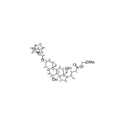 COCOC(=O)CCC(C)C1CCC2C3C(C[C@H](O)[C@]12C)[C@@]1(C)CC[C@@H](OCOC2C4CC5CC(C4)C2C5)CC1C[C@H]3O